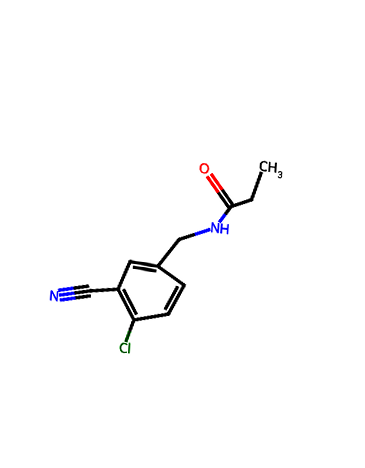 CCC(=O)NCc1ccc(Cl)c(C#N)c1